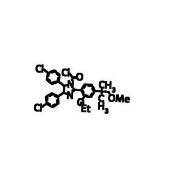 CCOc1cc(C(C)(C)COC)ccc1C1=NC(c2ccc(Cl)cc2)C(c2ccc(Cl)cc2)N1C(=O)Cl